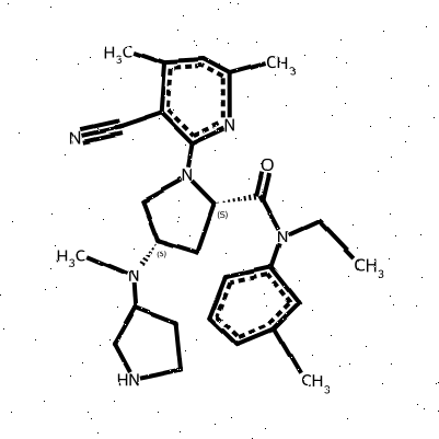 CCN(C(=O)[C@@H]1C[C@H](N(C)C2CCNC2)CN1c1nc(C)cc(C)c1C#N)c1cccc(C)c1